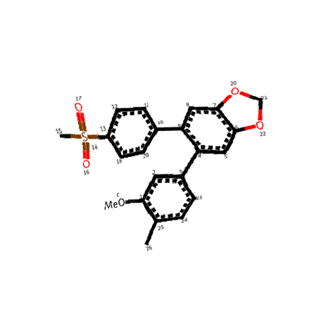 COc1cc(-c2cc3c(cc2-c2ccc(S(C)(=O)=O)cc2)OCO3)ccc1C